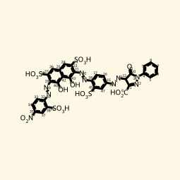 O=C(O)C1=NN(c2ccccc2)C(=O)C1/N=N/c1ccc(/N=N/c2c(S(=O)(=O)O)cc3cc(S(=O)(=O)O)c(/N=N/c4ccc([N+](=O)[O-])cc4S(=O)(=O)O)c(O)c3c2O)c(S(=O)(=O)O)c1